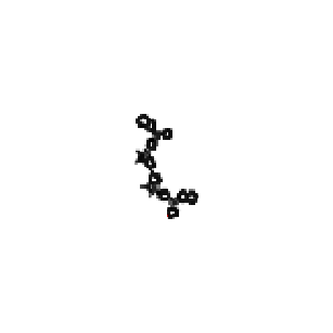 Cc1c(C)n(-c2ccc(N(c3ccccc3)c3ccc4ccccc4c3)cc2)c2ccc(-c3ccc4c(c3)c(C)c(C)n4-c3ccc(N(c4ccccc4)c4ccc5ccccc5c4)cc3)cc12